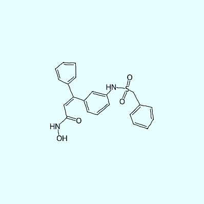 O=C(C=C(c1ccccc1)c1cccc(NS(=O)(=O)Cc2ccccc2)c1)NO